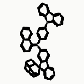 c1ccc2c(c1)-c1ccc(N(c3ccc(-n4c5ccccc5c5ccccc54)cc3)c3cccc4ccccc34)cc1C21C2CC3CC(C2)CC1C3